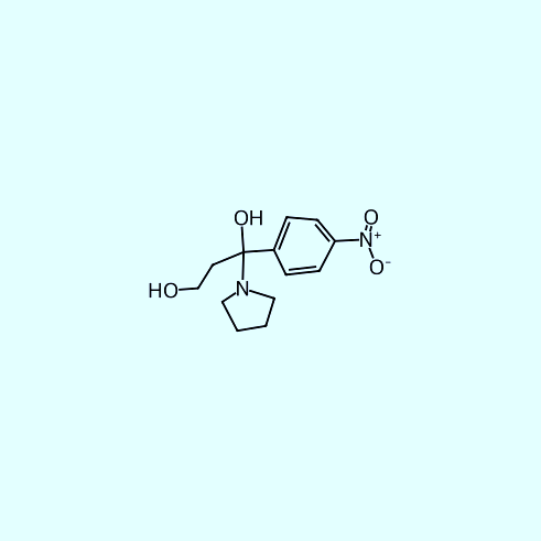 O=[N+]([O-])c1ccc(C(O)(CCO)N2CCCC2)cc1